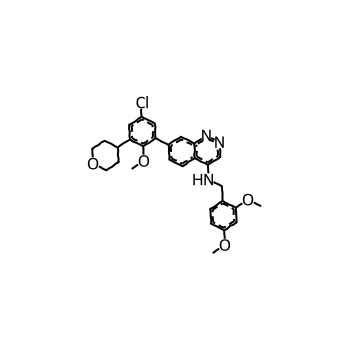 COc1ccc(CNc2cnnc3cc(-c4cc(Cl)cc(C5CCOCC5)c4OC)ccc23)c(OC)c1